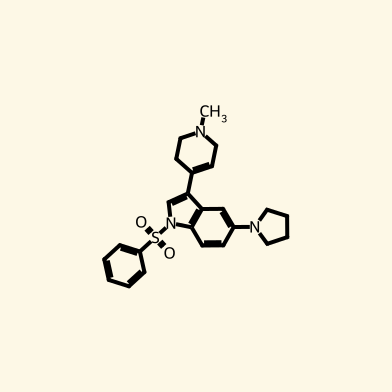 CN1CC=C(c2cn(S(=O)(=O)c3ccccc3)c3ccc(N4CCCC4)cc23)CC1